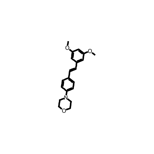 COc1cc(C=Cc2ccc(N3CCOCC3)cc2)cc(OC)c1